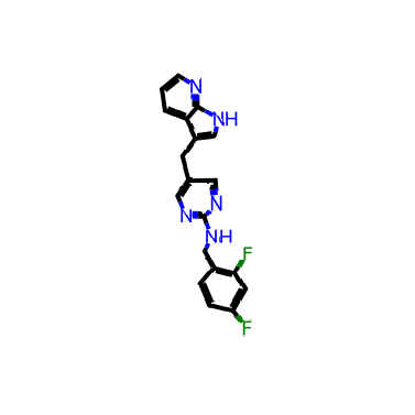 Fc1ccc(CNc2ncc(Cc3c[nH]c4ncccc34)cn2)c(F)c1